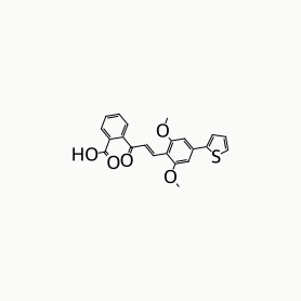 COc1cc(-c2cccs2)cc(OC)c1C=CC(=O)c1ccccc1C(=O)O